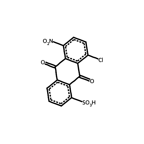 O=C1c2c(cccc2S(=O)(=O)O)C(=O)c2c([N+](=O)[O-])ccc(Cl)c21